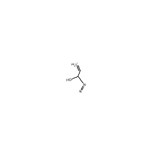 C=CC(O)N=[N]